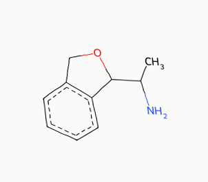 CC(N)C1OCc2ccccc21